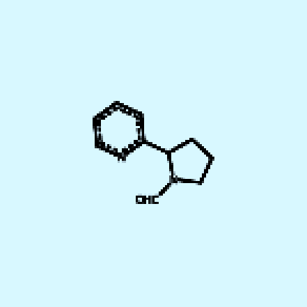 O=CN1CCCC1c1ccccn1